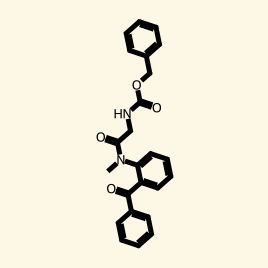 CN(C(=O)CNC(=O)OCc1ccccc1)c1ccccc1C(=O)c1ccccc1